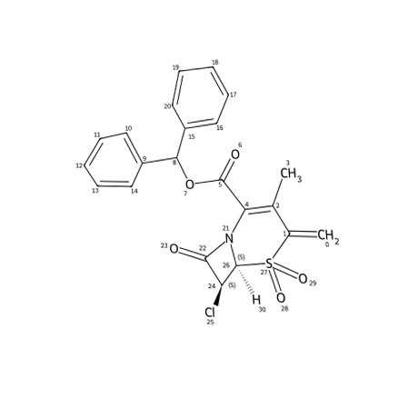 C=C1C(C)=C(C(=O)OC(c2ccccc2)c2ccccc2)N2C(=O)[C@H](Cl)[C@@H]2S1(=O)=O